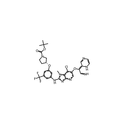 Cn1c(Nc2cc(O[C@@H]3CCN(C(=O)OC(C)(C)C)C3)cc(C(F)(F)F)c2)nc2ncc(O/C(C=N)=C3\C=NC=CN3)c(Cl)c21